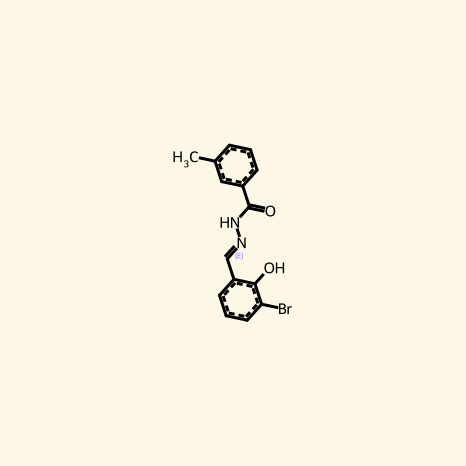 Cc1cccc(C(=O)N/N=C/c2cccc(Br)c2O)c1